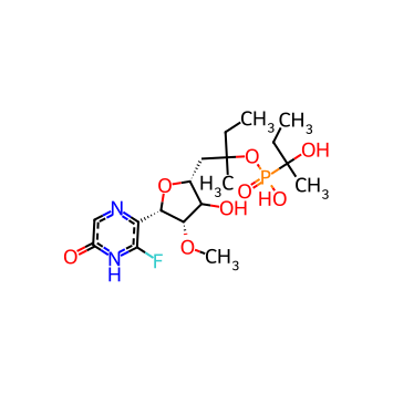 CCC(C)(C[C@H]1O[C@@H](c2ncc(=O)[nH]c2F)[C@@H](OC)C1O)OP(=O)(O)C(C)(O)CC